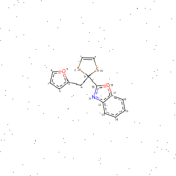 C1=CSC(Cc2ccco2)(c2nc3ccccc3o2)S1